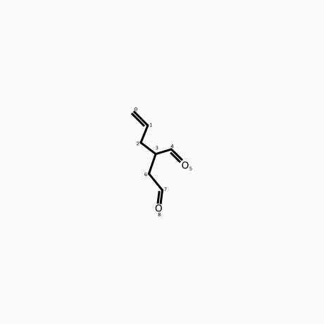 C=CCC(C=O)CC=O